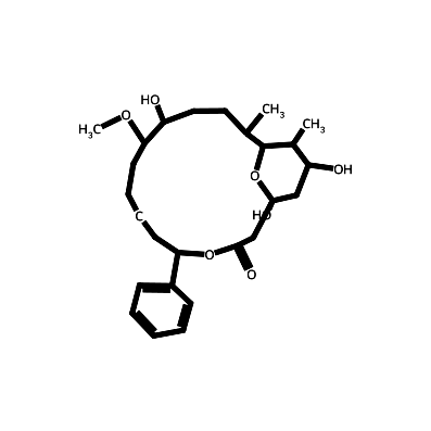 COC1CCCCC(c2ccccc2)OC(=O)CC2(O)CC(O)C(C)C(O2)C(C)CCC1O